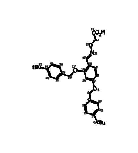 CC(C)(C)c1ccc(COc2ccc(/C=N/OCC(=O)O)c(OCc3ccc(C(C)(C)C)cc3)c2)cc1